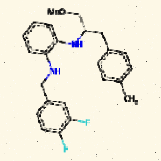 COC[C@H](Cc1ccc(C)cc1)Nc1ccccc1NCc1ccc(F)c(F)c1